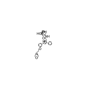 CC(C)CC(NC(=O)Cn1nc(-c2cccc(OCCCN3CCOCC3)c2)cc1-c1ccccc1)OB(O)O